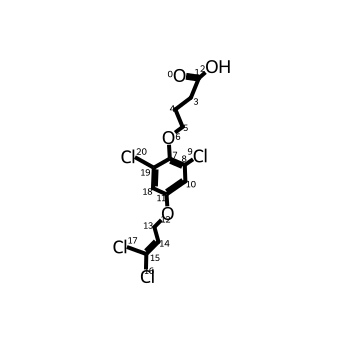 O=C(O)CCCOc1c(Cl)cc(OCC=C(Cl)Cl)cc1Cl